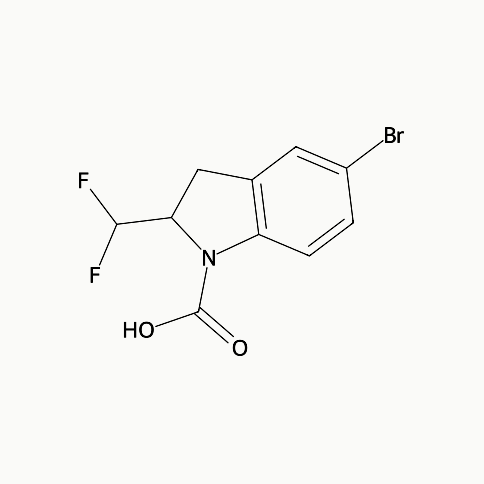 O=C(O)N1c2ccc(Br)cc2CC1C(F)F